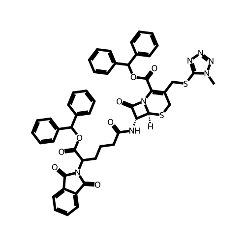 Cn1nnnc1SCC1=C(C(=O)OC(c2ccccc2)c2ccccc2)N2C(=O)[C@@H](NC(=O)CCCC(C(=O)OC(c3ccccc3)c3ccccc3)N3C(=O)c4ccccc4C3=O)[C@@H]2SC1